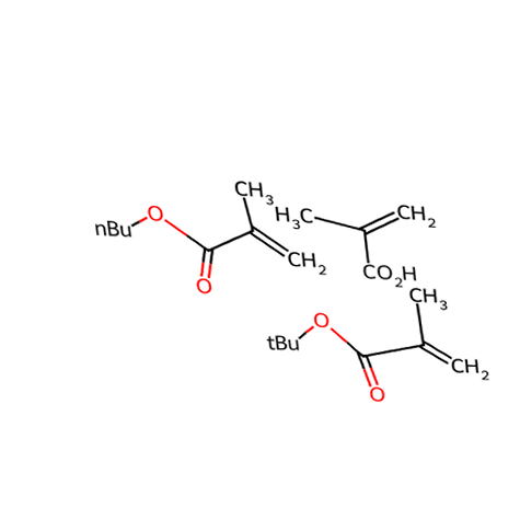 C=C(C)C(=O)O.C=C(C)C(=O)OC(C)(C)C.C=C(C)C(=O)OCCCC